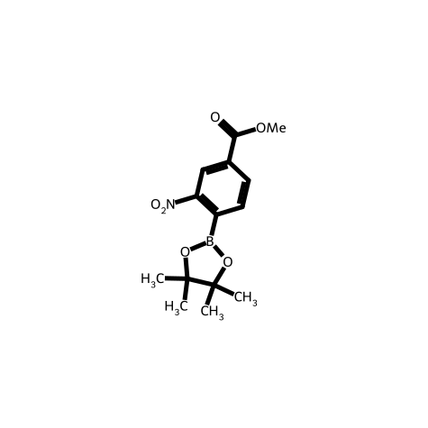 COC(=O)c1ccc(B2OC(C)(C)C(C)(C)O2)c([N+](=O)[O-])c1